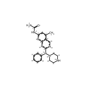 Cc1cc(NC(N)=O)nc2nc(N(c3ccccc3)N3CCNCC3)ncc12